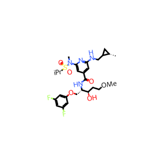 COCC[C@@H](O)[C@H](COc1cc(F)cc(F)c1)NC(=O)c1cc(NCC2C[C@@H]2C)nc(N(C)S(=O)(=O)C(C)C)c1